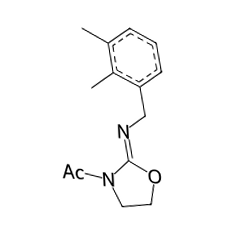 CC(=O)N1CCOC1=NCc1cccc(C)c1C